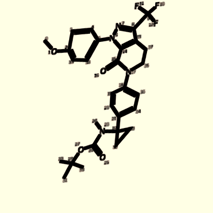 COc1ccc(-n2nc(C(F)(F)F)c3c2C(=O)N(c2ccc(C4(N(C)C(=O)OC(C)(C)C)CC4)cc2)CC3)cc1